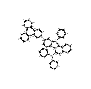 c1ccc(N(c2ccccc2)c2cc3ccccc3c3c2c2ccc(-c4ccc5c6ccccc6c6ccccc6c5c4)cc2n3-c2ccccc2)cc1